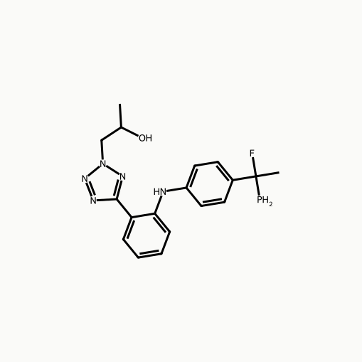 CC(O)Cn1nnc(-c2ccccc2Nc2ccc(C(C)(F)P)cc2)n1